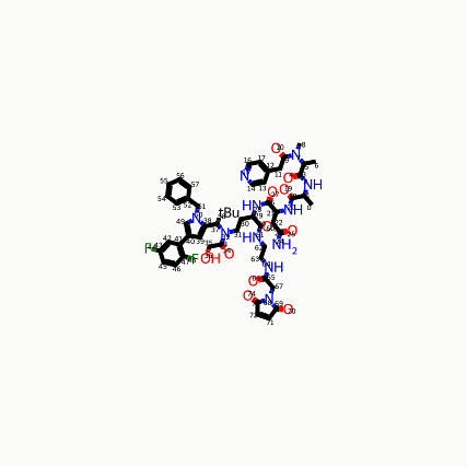 CC(NC(=O)C(C)N(C)C(=O)Cc1ccncc1)C(=O)NC(CC(N)=O)C(=O)NC(CCN(C(=O)CO)C(c1cc(-c2cc(F)ccc2F)cn1Cc1ccccc1)C(C)(C)C)C(=O)NCCNC(=O)CN1C(=O)C=CC1=O